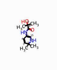 CC1(C)C=CC(NC(=O)C(C)(C)O)=CN1